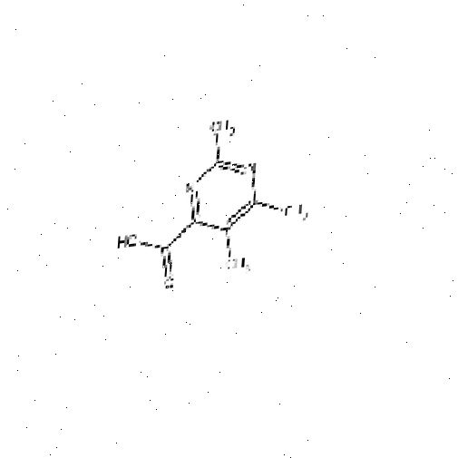 Cc1nc(C)c(C)c(C(=O)O)n1